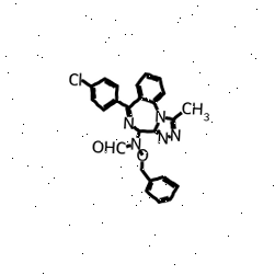 Cc1nnc2n1-c1ccccc1C(c1ccc(Cl)cc1)=NC2N(C=O)OCc1ccccc1